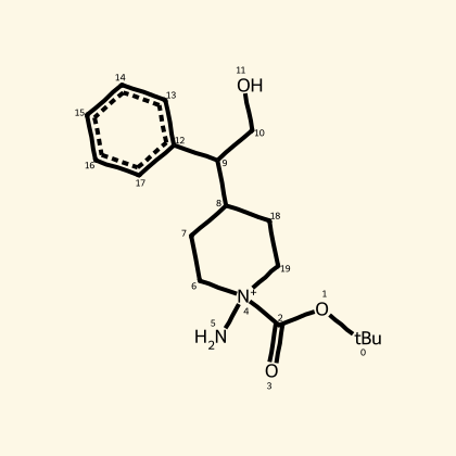 CC(C)(C)OC(=O)[N+]1(N)CCC(C(CO)c2ccccc2)CC1